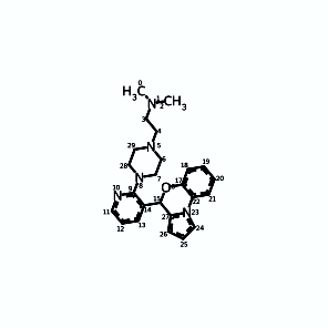 CN(C)CCN1CCN(c2ncccc2C2Oc3ccccc3-n3cccc32)CC1